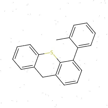 Cc1ccccc1-c1cccc2c1Sc1ccccc1C2